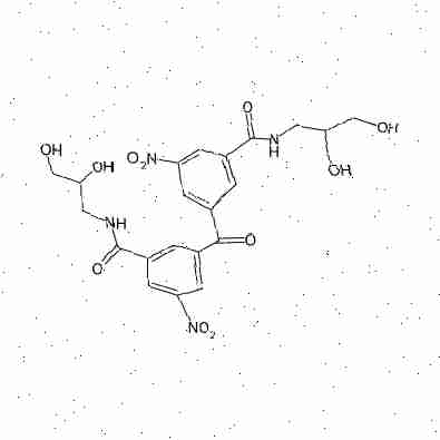 O=C(NCC(O)CO)c1cc(C(=O)c2cc(C(=O)NCC(O)CO)cc([N+](=O)[O-])c2)cc([N+](=O)[O-])c1